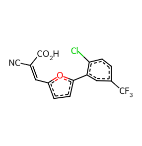 N#CC(=Cc1ccc(-c2cc(C(F)(F)F)ccc2Cl)o1)C(=O)O